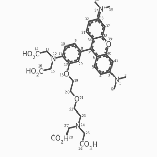 CN(C)c1ccc2c(-c3ccc(N(CC(=O)O)CC(=O)O)c(OCCOCCN(CC(=O)O)CC(=O)O)c3)c3ccc(=[N+](C)C)cc-3oc2c1